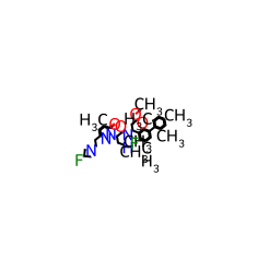 CCOC(=O)CC(NC(=O)C(CC(C)C)n1nc(CCN2CC(F)C2)cc(C)c1=O)c1cc(-c2c(C)cc(C)cc2C)cc(C)c1F